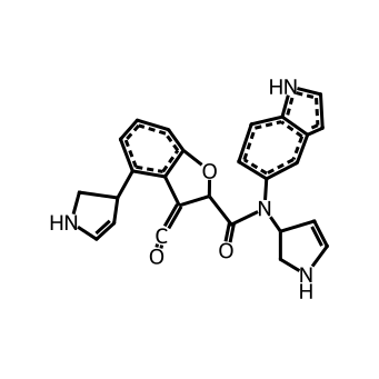 O=C=C1c2c(cccc2C2C=CNC2)OC1C(=O)N(c1ccc2[nH]ccc2c1)C1C=CNC1